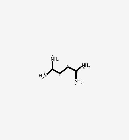 NC(N)CCC(N)N